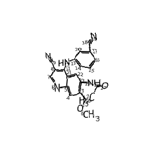 COCc1cc2ncc(C#N)c(Nc3cccc(C#N)c3)c2cc1NC(C)=O